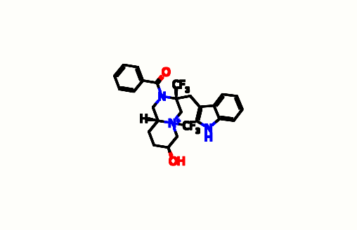 O=C(c1ccccc1)N1C[C@H]2CC[C@H](O)C[N+]2(C(F)(F)F)C[C@]1(Cc1c[nH]c2ccccc12)C(F)(F)F